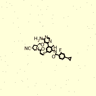 C=CC(=O)N1C[C@H](C#N)C[C@H]1COc1c(N)ncnc1-c1cc(F)cc(NC(=O)c2ccc(C3CC3)cc2F)c1C